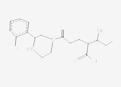 CCC(N)C(CCC(=O)N1CCNC(c2ccccc2O)C1)C(=O)O